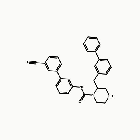 N#Cc1cccc(-c2cccc(NC(=O)N3CCNCC3Cc3cccc(-c4ccccc4)c3)c2)c1